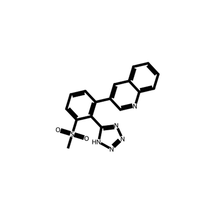 CS(=O)(=O)c1cccc(-c2cnc3ccccc3c2)c1-c1nnn[nH]1